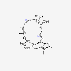 Cc1nc2c3c(c(O)cc2n1C)[C@@H](O)O[C@@H](C)[C@H](C)/C=C\[C@H](O)[C@@H](O)[C@@H](O)C/C=C/3